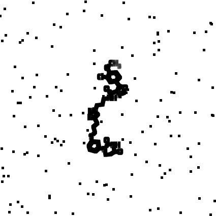 COc1ccc(-c2ocnc2C(=O)NCCCn2cc(CCCSc3cccc(N4CCC(=O)NC4=O)c3)nn2)cc1Cl